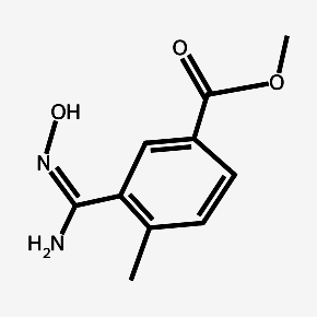 COC(=O)c1ccc(C)c(/C(N)=N\O)c1